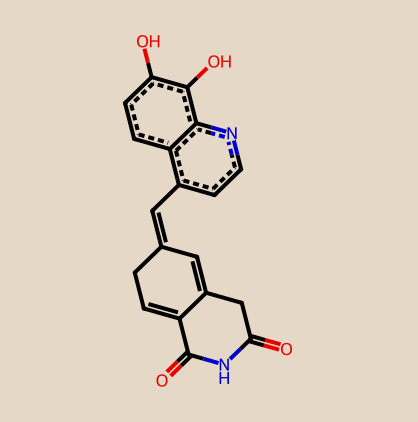 O=C1CC2=CC(=Cc3ccnc4c(O)c(O)ccc34)CC=C2C(=O)N1